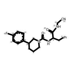 CC(C)CC(NC(=O)N1CCCC(c2ccc(F)cc2)C1)C(=O)NCC#N